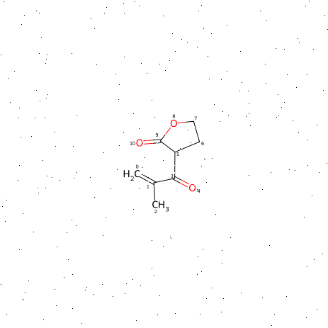 C=C(C)C(=O)C1CCOC1=O